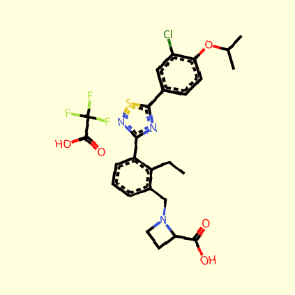 CCc1c(CN2CCC2C(=O)O)cccc1-c1nsc(-c2ccc(OC(C)C)c(Cl)c2)n1.O=C(O)C(F)(F)F